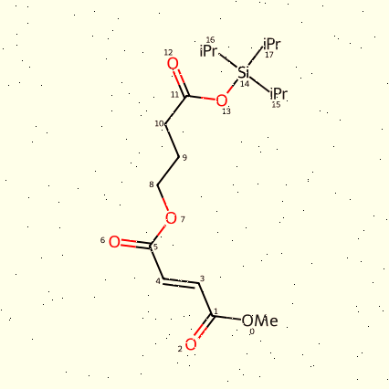 COC(=O)C=CC(=O)OCCCC(=O)O[Si](C(C)C)(C(C)C)C(C)C